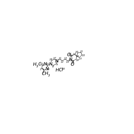 Cc1cc(C)nc(N2CCN(CCCCN3C(=O)CC4(CCCC4)CC3=O)CC2)n1.Cl